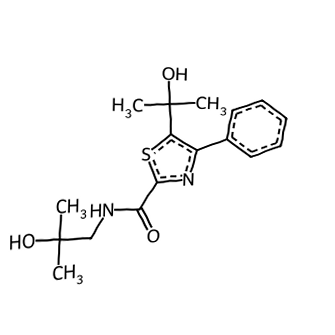 CC(C)(O)CNC(=O)c1nc(-c2ccccc2)c(C(C)(C)O)s1